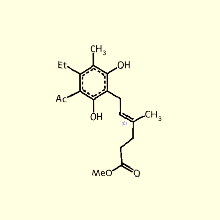 CCc1c(C)c(O)c(C/C=C(\C)CCC(=O)OC)c(O)c1C(C)=O